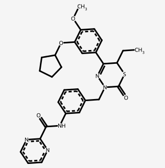 CCC1SC(=O)N(Cc2cccc(NC(=O)c3ncccn3)c2)N=C1c1ccc(OC)c(OC2CCCC2)c1